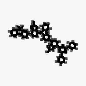 Cc1cc2c(-c3nc(-c4ccccc4)nc(-c4ccccc4)n3)ccc(-c3ccc4c(c3)c3ccccc3n4-c3ccc(-c4ccc5c(c4)[Si](C)(C)c4ccccc4-5)c4oc(C)cc34)c2o1